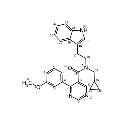 COc1cccc(-c2ncncc2C(=O)N(CCc2c[nH]c3ccccc23)CC2CC2)c1